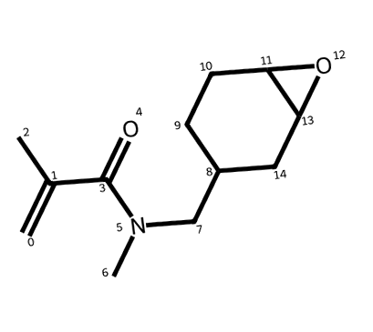 C=C(C)C(=O)N(C)CC1CCC2OC2C1